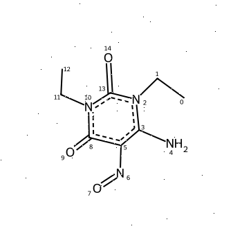 CCn1c(N)c(N=O)c(=O)n(CC)c1=O